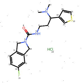 CN(C)C(CCNC(=O)N1Cc2ccc(F)cc2C1)c1ccsc1.Cl